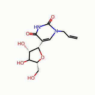 C=CCn1cc([C@@H]2O[C@H](CO)C(O)[C@@H]2O)c(=O)[nH]c1=O